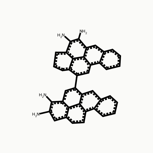 Nc1cc2ccc3c4ccccc4cc4c(-c5cc6c7ccccc7cc7c(N)c(N)c8cccc5c8c76)cc(c1N)c2c43